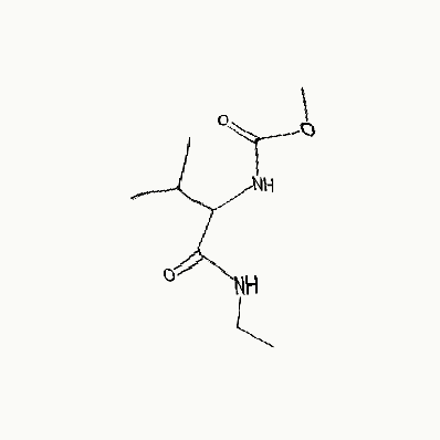 CCNC(=O)C(NC(=O)OC)C(C)C